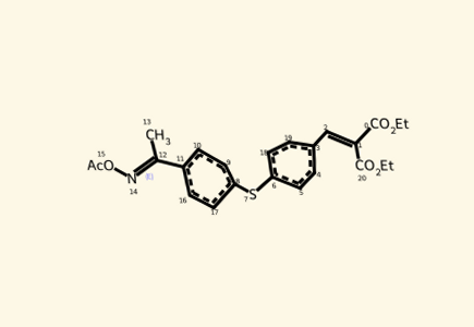 CCOC(=O)C(=Cc1ccc(Sc2ccc(/C(C)=N/OC(C)=O)cc2)cc1)C(=O)OCC